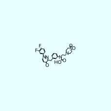 O=C(O)N(CCN1CCS(=O)(=O)CC1)c1cccc(Cc2nn(-c3ccc(F)c(F)c3)ccc2=O)c1